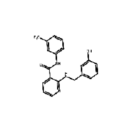 O=C(Nc1cccc(C(F)(F)F)c1)c1cccnc1NCc1cccc(O)c1